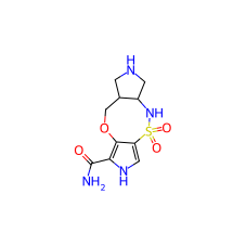 NC(=O)c1[nH]cc2c1OCC1CNCC1NS2(=O)=O